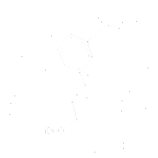 CC(C)COCCCc1cccc(C(C)C)c1